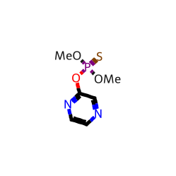 COP(=S)(OC)Oc1cnccn1